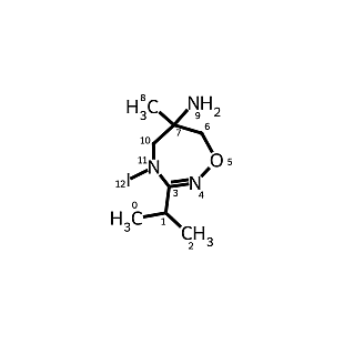 CC(C)C1=NOCC(C)(N)CN1I